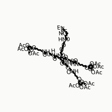 CCSC(=S)SC(C)(C#N)CCC(=O)NCCOCCOCCC(=O)NC(CCC(=O)NCCOCC(=O)NCCCCCO[C@H]1C[C@@H](OC(C)=O)[C@@H](OC(C)=O)[C@@H](COC(C)=O)O1)(CCC(=O)NCCOCC(=O)NCCCCCO[C@H]1C[C@@H](OC(C)=O)[C@@H](OC(C)=O)[C@@H](COC(C)=O)O1)CCC(=O)NCCOCC(=O)NCCCCCO[C@H]1C[C@@H](OC(C)=O)[C@@H](OC(C)=O)[C@@H](COC(C)=O)O1